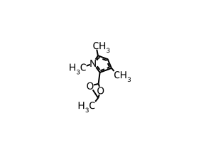 Cc1cc(C)n(C)c1C1OC(C)O1